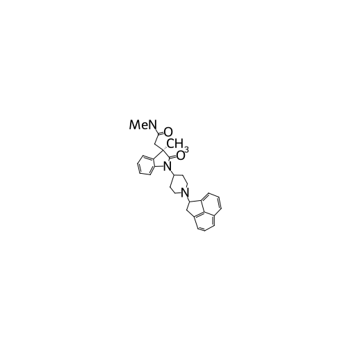 CNC(=O)C[C@@]1(C)C(=O)N(C2CCN(C3Cc4cccc5cccc3c45)CC2)c2ccccc21